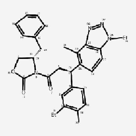 CCc1cc([C@@H](CC(=O)N2C(=O)OC[C@@H]2Cc2ccccc2)c2ccc3c(nnn3CC)c2C)ccc1C